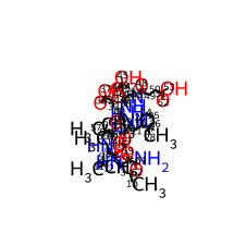 CCCCC(NC(=O)[C@H](CC(C)C)NC(=O)[C@@H](NC(=O)[C@H](Cc1ccccc1C)NC(=O)[C@H](CCC(=O)O)NC(=O)[C@H](CC(=O)O)NC(=O)CCC(=O)O)C(C)(C)C)C(=O)C(N)=O